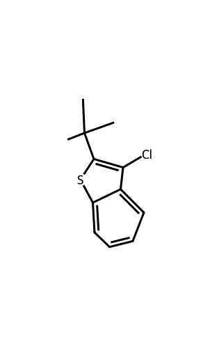 CC(C)(C)c1sc2ccccc2c1Cl